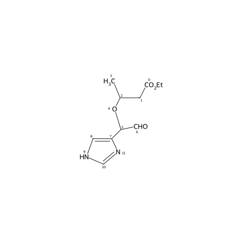 CCOC(=O)CC(C)OC(C=O)c1c[nH]cn1